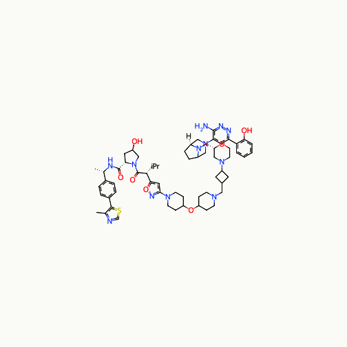 Cc1ncsc1-c1ccc([C@H](C)NC(=O)[C@@H]2C[C@@H](O)CN2C(=O)[C@@H](c2cc(N3CCC(OC4CCN(CC5CC(N6CCO[C@@H](CN7C8CC[C@H]7CN(c7cc(-c9ccccc9O)nnc7N)C8)C6)C5)CC4)CC3)no2)C(C)C)cc1